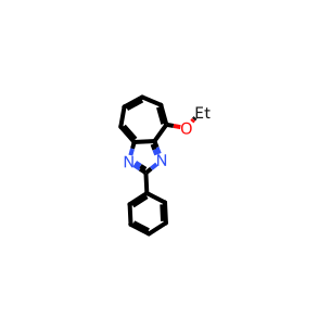 CCOc1ccccc2nc(-c3ccccc3)nc1-2